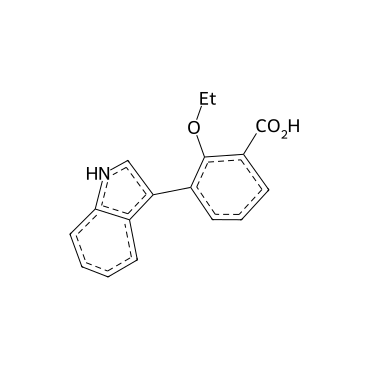 CCOc1c(C(=O)O)cccc1-c1c[nH]c2ccccc12